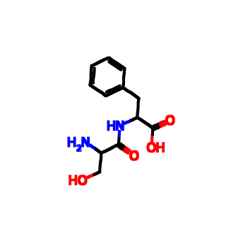 NC(CO)C(=O)NC(Cc1ccccc1)C(=O)O